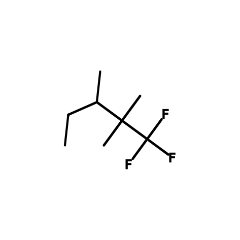 CCC(C)C(C)(C)C(F)(F)F